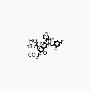 CC(C)(C)C(CO)n1cc(C(=O)O)c(=O)c2cc(NCc3c(F)cc(F)cc3F)c(N3CCOCC3)nc21